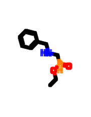 CCO[PH](=O)CNCc1ccccc1